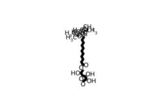 C[Si](C)(C)O[Si](C)(CCCCCCCCCCC(=O)OCC(O)C1OC(=O)C(O)=C1O)O[Si](C)(C)C